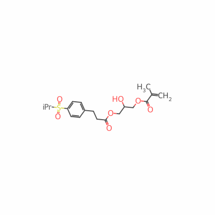 C=C(C)C(=O)OCC(O)COC(=O)CCc1ccc(S(=O)(=O)C(C)C)cc1